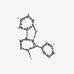 Fc1ccc2c(c1-c1ccccc1)Cc1ccccc1-2